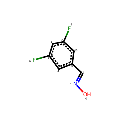 ON=Cc1cc(F)cc(F)c1